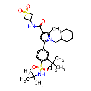 Cc1c(C(=O)NC2CS(=O)(=O)C2)cc(-c2ccc(S(=O)(=O)NC(C)(C)C)c(C(C)(C)C)c2)n1CC1CCCCC1